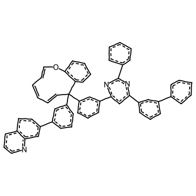 C1=C\C=C\C(c2cccc(-c3ccc4cccnc4c3)c2)(c2cccc(-c3cc(-c4cccc(-c5ccccc5)c4)nc(-c4ccccc4)n3)c2)c2ccccc2O/C=C/1